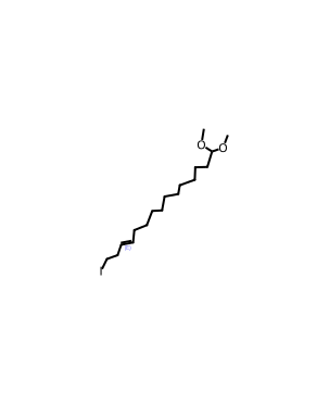 COC(CCCCCCCCCC/C=C/CCI)OC